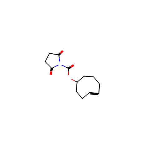 O=C1CCC(=O)N1C(=O)OC1CC/C=C/CCC1